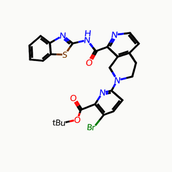 CC(C)(C)OC(=O)c1nc(N2CCc3ccnc(C(=O)Nc4nc5ccccc5s4)c3C2)ccc1Br